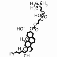 CC(C)CCC[C@@H](C)[C@H]1CCC2C3CC=C4C[C@@H](OC(=O)OCCOP(=O)(O)OCC[N+](C)(C)C)CC[C@]4(C)C3CC[C@@]21C.[OH-]